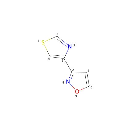 c1cc(-c2cscn2)no1